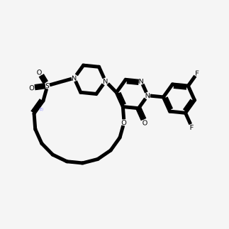 O=c1c2c(cnn1-c1cc(F)cc(F)c1)N1CCN(CC1)S(=O)(=O)/C=C/CCCCCCCCO2